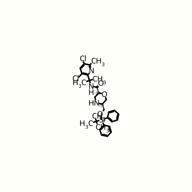 Cc1nc(C(C)(C)NC(=O)[C@@H]2CN[C@H](CO[Si](c3ccccc3)(c3ccccc3)C(C)(C)C)CO2)c(Cl)cc1Cl